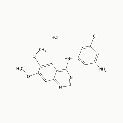 COc1cc2ncnc(Nc3cc(N)cc(Cl)c3)c2cc1OC.Cl